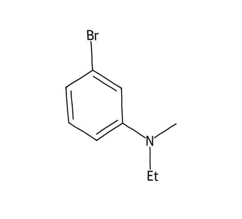 CCN(C)c1cccc(Br)c1